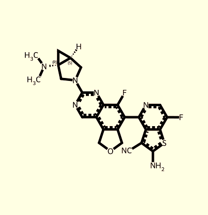 CN(C)[C@]12C[C@H]1CN(c1ncc3c4c(c(-c5ncc(F)c6sc(N)c(C#N)c56)c(F)c3n1)COC4)C2